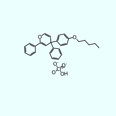 CCCCCOc1ccc(C2(c3ccccc3)C=COC(c3ccccc3)=C2)cc1.[O-][Cl+3]([O-])([O-])O